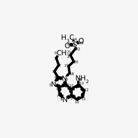 CCCCc1nc2cnc3cccc(N)c3c2n1CCCCCS(C)(=O)=O